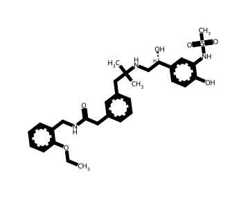 CCOc1ccccc1CNC(=O)Cc1cccc(CC(C)(C)NC[C@H](O)c2ccc(O)c(NS(C)(=O)=O)c2)c1